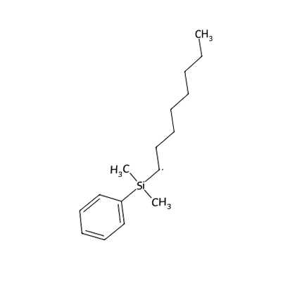 CCCCCCC[CH][Si](C)(C)c1ccccc1